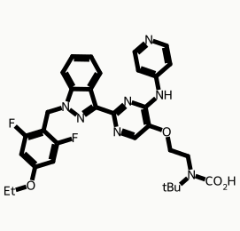 CCOc1cc(F)c(Cn2nc(-c3ncc(OCCN(C(=O)O)C(C)(C)C)c(Nc4ccncc4)n3)c3ccccc32)c(F)c1